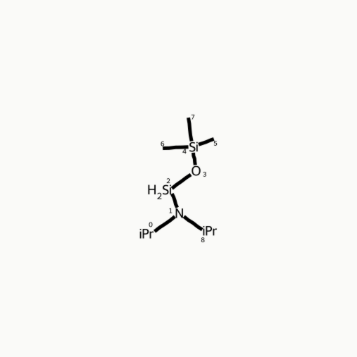 CC(C)N([SiH2]O[Si](C)(C)C)C(C)C